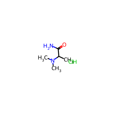 CC(C(N)=O)N(C)C.Cl